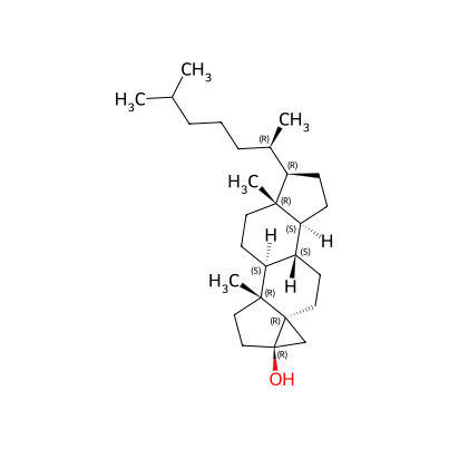 CC(C)CCC[C@@H](C)[C@H]1CC[C@H]2[C@@H]3CC[C@]45C[C@]4(O)CC[C@]5(C)[C@H]3CC[C@]12C